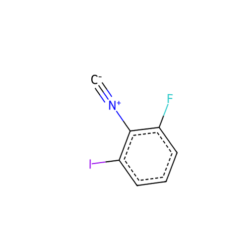 [C-]#[N+]c1c(F)cccc1I